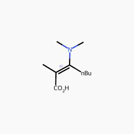 CCCC/C(=C(/C)C(=O)O)N(C)C